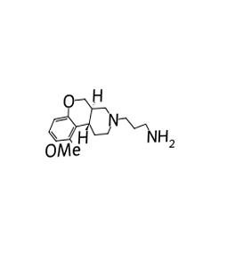 COc1cccc2c1[C@H]1CCN(CCCN)C[C@@H]1CO2